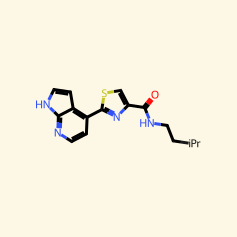 CC(C)CCNC(=O)c1csc(-c2ccnc3[nH]ccc23)n1